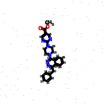 COC(=O)c1cnc(N2CCN(c3nnc(Cc4ccccc4)c4ccccc34)CC2)nc1